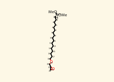 CO[SiH](CCCCCCCCCCCCCCCCCOCC1CO1)OC